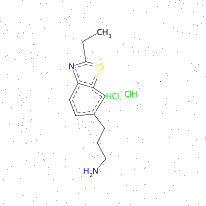 CCc1nc2ccc(CCCN)cc2s1.Cl.Cl